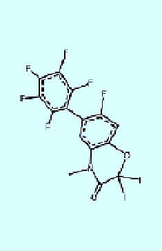 CN1C(=O)C(I)(I)Oc2cc(F)c(-c3c(F)c(F)c(F)c(F)c3F)cc21